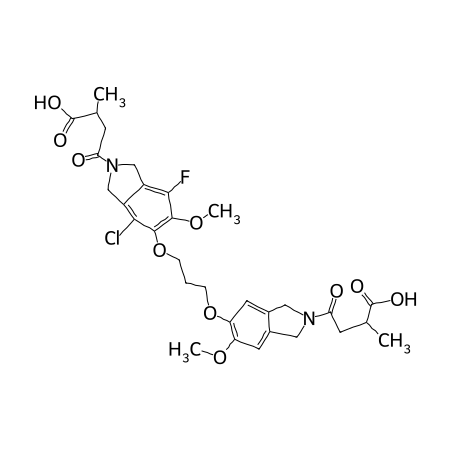 COc1cc2c(cc1OCCCOc1c(Cl)c3c(c(F)c1OC)CN(C(=O)CC(C)C(=O)O)C3)CN(C(=O)CC(C)C(=O)O)C2